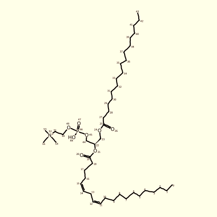 CCCCCCCCCCC/C=C\C/C=C\CCCC(=O)O[C@H](COC(=O)CCCCCCCCCCCCCCCCC)COP(=O)(O)OCC[N+](C)(C)C